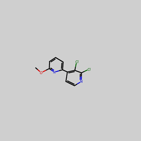 COc1cccc(-c2ccnc(Cl)c2Cl)n1